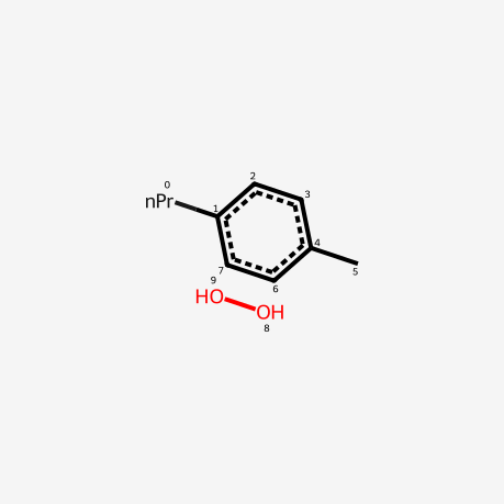 CCCc1ccc(C)cc1.OO